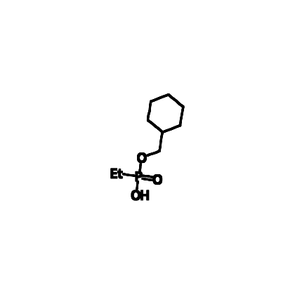 CCP(=O)(O)OCC1CCCCC1